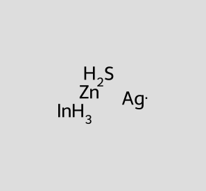 S.[Ag].[InH3].[Zn]